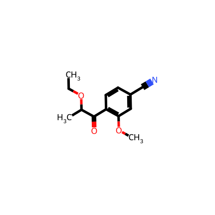 CCOC(C)C(=O)c1ccc(C#N)cc1OC